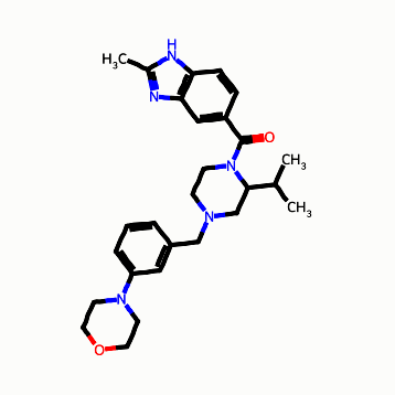 Cc1nc2cc(C(=O)N3CCN(Cc4cccc(N5CCOCC5)c4)CC3C(C)C)ccc2[nH]1